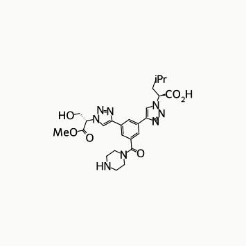 COC(=O)[C@H](CO)n1cc(-c2cc(C(=O)N3CCNCC3)cc(-c3cn([C@@H](CC(C)C)C(=O)O)nn3)c2)nn1